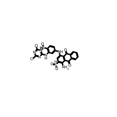 Nc1c([SH](=O)=O)cc(Nc2ccc([SH](=O)=O)c(Nc3nc(Cl)nc(Cl)n3)c2)c2c1C(=O)c1ccccc1C2=O